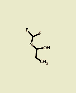 CCC(O)[N]C(F)F